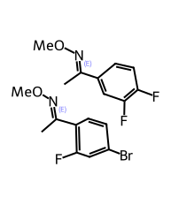 CO/N=C(\C)c1ccc(Br)cc1F.CO/N=C(\C)c1ccc(F)c(F)c1